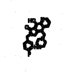 O=C1c2c(c(CN3CCNCC3)c3cccnc3c2O)CN1Cc1ccc(F)cc1